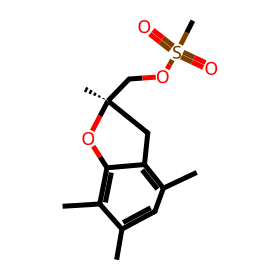 Cc1cc(C)c2c(c1C)O[C@@](C)(COS(C)(=O)=O)C2